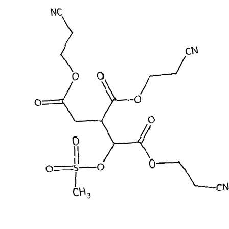 CS(=O)(=O)OC(C(=O)OCCC#N)C(CC(=O)OCCC#N)C(=O)OCCC#N